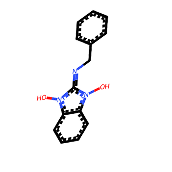 On1c(=NCc2ccccc2)n(O)c2ccccc21